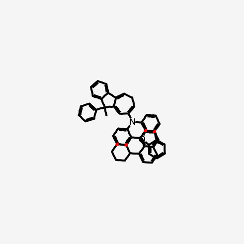 CC1(c2ccccc2)C2=CC(N(c3ccccc3-c3cccc4cccc(C5CCCCC5)c34)c3cccc4c3oc3ccccc34)=CCC=C2c2ccccc21